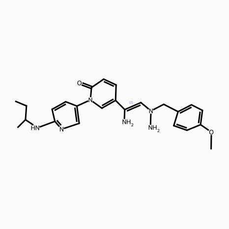 CCC(C)Nc1ccc(-n2cc(/C(N)=C/N(N)Cc3ccc(OC)cc3)ccc2=O)cn1